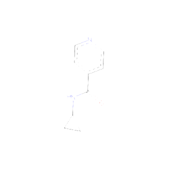 O=C(NC1CC1)c1ccncc1